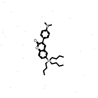 CCC[CH2][Sn]([CH2]CCC)([CH2]CCC)[c]1ccc2oc(=O)c(-c3ccc(N(C)C)cc3)cc2c1